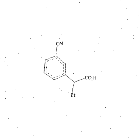 CCC(C(=O)O)c1cccc(C#N)c1